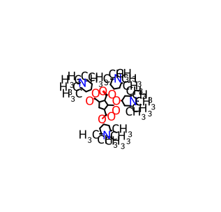 CN1C(C)(C)CC(OC(=O)C2CC(C(=O)OC3CC(C)(C)N(C)C(C)(C)C3)C(C(=O)OC3CC(C)(C)N(C)C(C)(C)C3)C2C(=O)OC2CC(C)(C)N(C)C(C)(C)C2)CC1(C)C